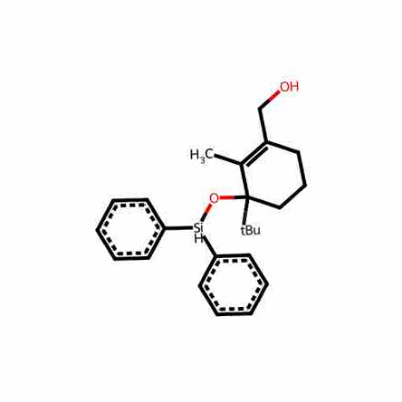 CC1=C(CO)CCCC1(O[SiH](c1ccccc1)c1ccccc1)C(C)(C)C